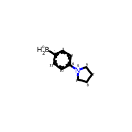 Bc1ccc(N2CCCC2)cc1